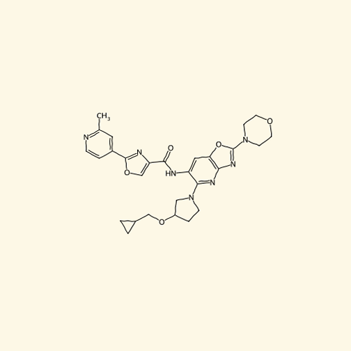 Cc1cc(-c2nc(C(=O)Nc3cc4oc(N5CCOCC5)nc4nc3N3CCC(OCC4CC4)C3)co2)ccn1